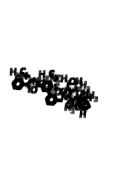 CNC[C@H](NC(=O)c1cc(-c2cccc(CN3O[C@@H](CO)[C@@H]([C@H](C)O)[C@H]3C(=O)N[C@H]3C[C@H]4C[C@@H]([C@@H]3C)C4(C)C)c2OC)cc(N(C)C)c1)[C@@H](I)c1ccccc1